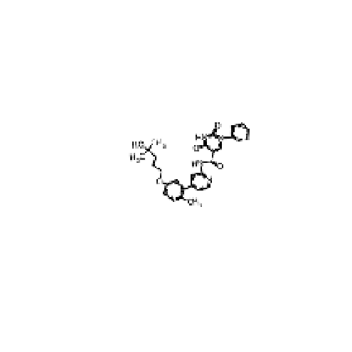 Cc1ccc(OCCCC(C)(C)O)cc1-c1ccnc(NC(=O)c2cn(-c3ccccc3)c(=O)[nH]c2=O)c1